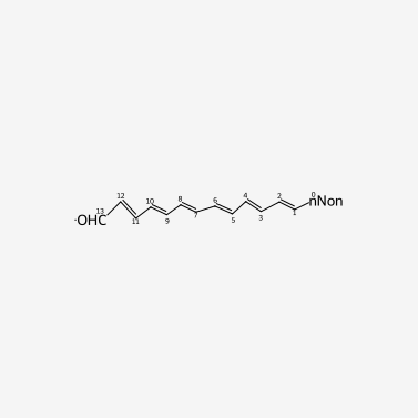 CCCCCCCCC/C=C/C=C/C=C/C=C/C=C/C=C/[C]=O